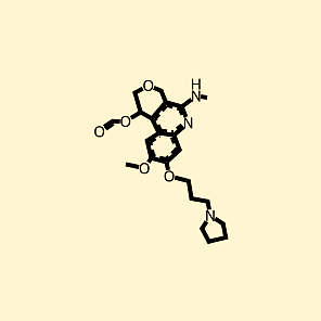 CNc1nc2cc(OCCCN3CCCC3)c(OC)cc2c2c1COCC2OC=O